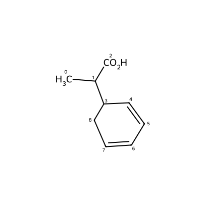 CC(C(=O)O)C1C=CC=CC1